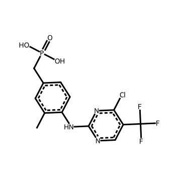 Cc1cc(CP(=O)(O)O)ccc1Nc1ncc(C(F)(F)F)c(Cl)n1